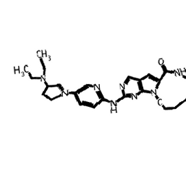 CCN(CC)C1CCN(c2ccc(Nc3ncc4cc5n(c4n3)CCCCCCNC5=O)nc2)C1